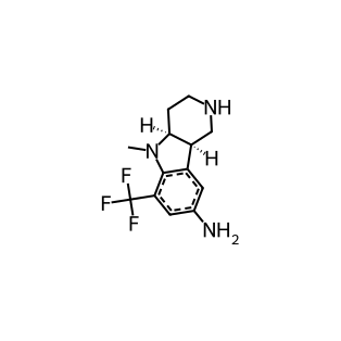 CN1c2c(cc(N)cc2C(F)(F)F)[C@@H]2CNCC[C@@H]21